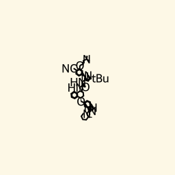 C[C@H]1CCCCN1c1nnc2ccc(O[C@@H]3CC[C@H](NC(=O)Nc4cc(C(C)(C)C)nn4-c4ccc(C#N)c(OCCN(C)C)c4)c4ccccc43)cn12